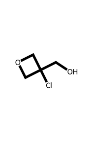 OCC1(Cl)COC1